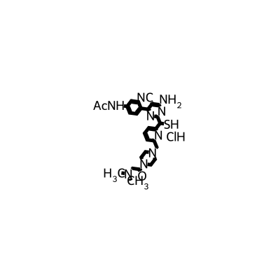 CC(=O)Nc1ccc(-c2nc(C(S)c3cccc(CN4CCN(C(=O)CN(C)C)CC4)n3)nc(N)c2C#N)cc1.Cl